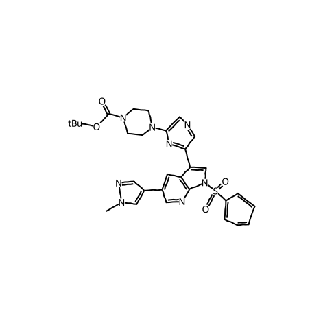 Cn1cc(-c2cnc3c(c2)c(-c2cncc(N4CCN(C(=O)OC(C)(C)C)CC4)n2)cn3S(=O)(=O)c2ccccc2)cn1